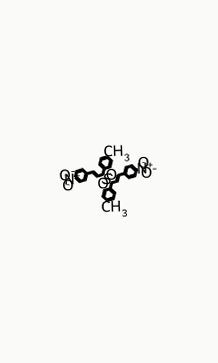 Cc1ccc(C(C=Cc2ccc([N+](=O)[O-])cc2)S(=O)(=O)C(C=Cc2ccc([N+](=O)[O-])cc2)c2ccc(C)cc2)cc1